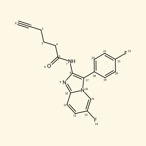 C#CCCCC(=O)Nc1nc2ccc(F)cn2c1-c1ccc(F)cc1